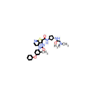 Cc1cc(Oc2ccccc2)ccc1N1C(=O)Nc2c(C(=O)NC3CC[C@H](NC(=O)CN(C)C)C3)sc3nccc1c23